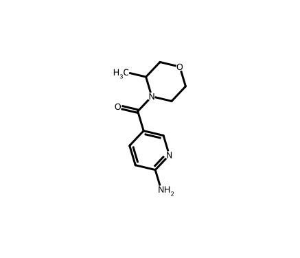 CC1COCCN1C(=O)c1ccc(N)nc1